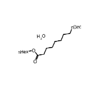 CCCCCCCCCCCCCCCCCC(=O)OCCCCCC.O